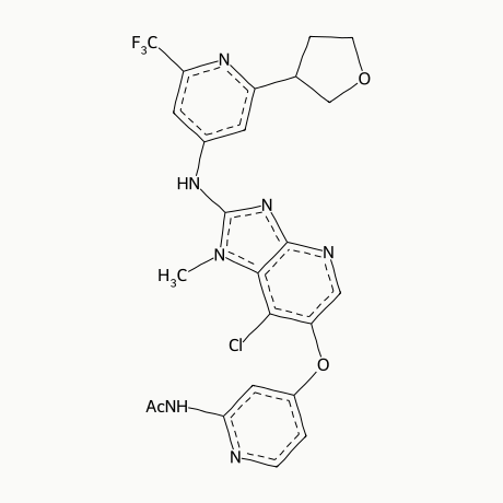 CC(=O)Nc1cc(Oc2cnc3nc(Nc4cc(C5CCOC5)nc(C(F)(F)F)c4)n(C)c3c2Cl)ccn1